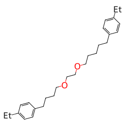 CCc1ccc(CCCCCOCCOCCCCc2ccc(CC)cc2)cc1